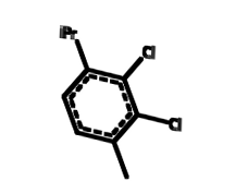 Cc1ccc(C(C)C)c(Cl)c1Cl